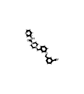 N#Cc1cccc(COc2cccc(CN3CCN(C(=O)Nc4cccnc4)CC3)c2)c1